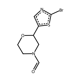 O=CN1CCOC(c2cnc(Br)s2)C1